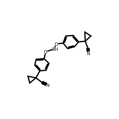 N#CC1(c2ccc(OBOc3ccc(C4(C#N)CC4)cc3)cc2)CC1